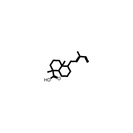 C=C/C(C)=C/CC1CCCC2C(C)(C(=O)O)CCCC12C